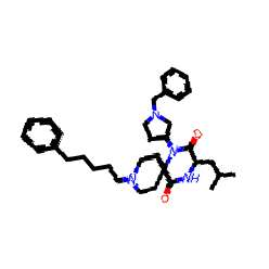 CC(C)CC1NC(=O)C2(CCN(CCCCCc3ccccc3)CC2)N(C2CCN(Cc3ccccc3)C2)C1=O